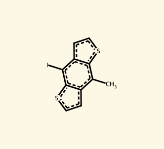 Cc1c2ccsc2c(I)c2ccsc12